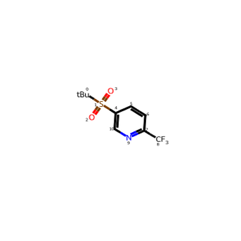 CC(C)(C)S(=O)(=O)c1ccc(C(F)(F)F)nc1